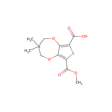 COC(=O)c1sc(C(=O)O)c2c1OC[Si](C)(C)CO2